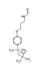 CC(C)(C)CC(C)(C)c1ccc(OCCCNC=O)cc1